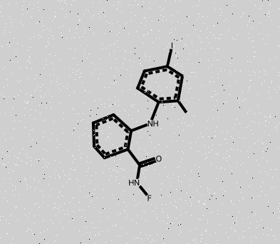 Cc1cc(I)ccc1Nc1ccccc1C(=O)NF